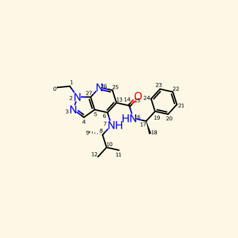 CCn1ncc2c(N[C@@H](C)C(C)C)c(C(=O)N[C@H](C)c3ccccc3)cnc21